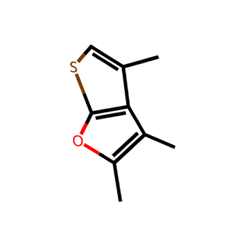 Cc1oc2scc(C)c2c1C